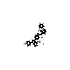 Nc1ncnn2c(C3CCNCC3)cc(-c3ccc(NC(=O)c4cccn(-c5ccccc5)c4=O)cc3)c12